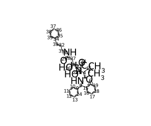 CC(C)(C)[C@@H](C(=O)NC(c1ccccc1)c1ccccc1)N(O)C(=O)[C@@H](O)CC(=O)NCC=Cc1ccccc1